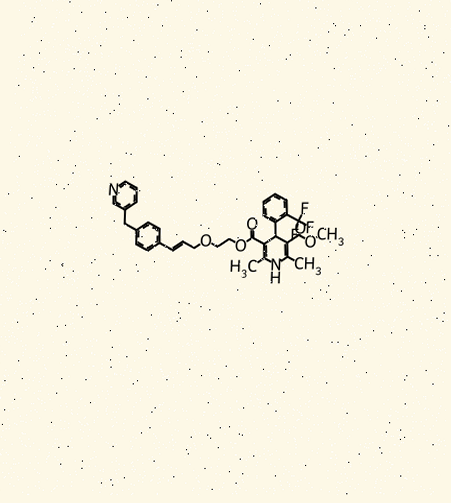 COC(=O)C1=C(C)NC(C)=C(C(=O)OCCOCC=Cc2ccc(Cc3cccnc3)cc2)C1c1ccccc1C(F)(F)F